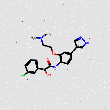 CN(C)CCOc1cc(-c2cn[nH]c2)ccc1NC(=O)C(O)c1cccc(Cl)c1